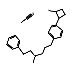 CC#N.CN(CCCc1ccc(C2CCC2F)cc1)CCc1ccccc1